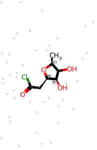 C[C@@H]1O[C@H](CC(=O)Cl)[C@H](O)C1O